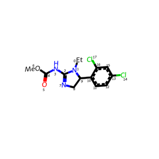 CCN1C(NC(=O)OC)=NCC1c1ccc(Cl)cc1Cl